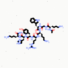 CC(=O)N[C@@H](CCCCN)C(=O)NCC(=O)N[C@@H](Cc1c[nH]c2ccccc12)C(=O)N[C@@H](CCCCN)C(=O)N[C@@H](CCCNC(=N)N)C(=O)N[C@@H](Cc1ccc(O)cc1)C(=O)N[C@@H](Cc1c[nH]cn1)C(=O)N[C@@H](CCCCN)C(N)=O